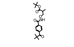 CC(CONC(=O)c1ccc(C(=O)C(C)(C)C)cc1)C(=O)OC(C)(C)C